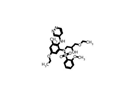 CCOCC(O)CN(c1cc(OCC)cc(C)c1Nc1ccnnc1)S(=O)(=O)c1ccccc1OC